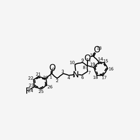 O=C(CCCN1CCC2(CC1)OC(=O)c1ccccc12)c1ccc(F)cc1